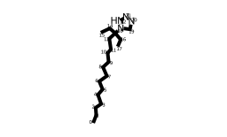 CCCCCCCCCCCCCC(CC)(CC)N1CN=NN1